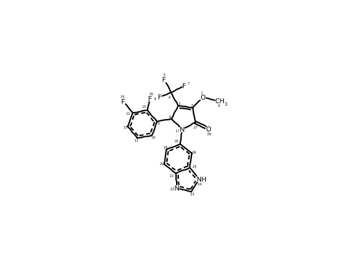 COC1=C(C(F)(F)F)C(c2cccc(F)c2F)N(c2ccc3nc[nH]c3c2)C1=O